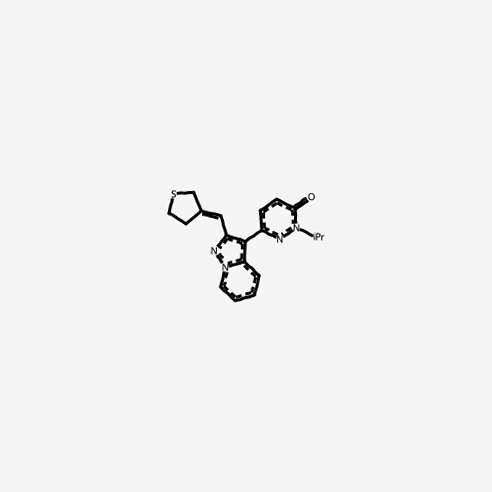 CC(C)n1nc(-c2c(C=C3CCSC3)nn3ccccc23)ccc1=O